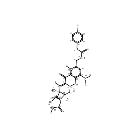 C=C(CC(=C)[C@@]1(O)C(C)=C2C(=C)c3c(C)c(CNC(=C)Oc4ccc(C)cc4)cc(N(C)C)c3C[C@@]2(C)C[C@@]1(C)CCO)NC